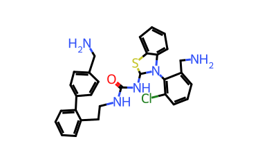 NCc1ccc(-c2ccccc2CCNC(=O)NC2Sc3ccccc3N2c2c(Cl)cccc2CN)cc1